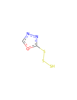 SSSc1nnco1